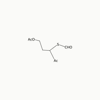 CC(=O)OCCC(SC=O)C(C)=O